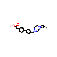 CN1CCCN(Cc2ccc(-c3ccc(CC(=O)O)cc3)cc2)CC1